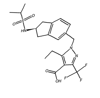 CCc1c(C(=O)O)c(C(F)(F)F)nn1Cc1ccc2c(c1)C[C@@H](NS(=O)(=O)C(C)C)C2